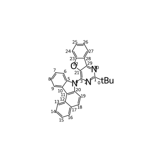 CC(C)(C)c1nc(-n2c3ccccc3c3c4ccccc4ccc32)c2oc3ccccc3c2n1